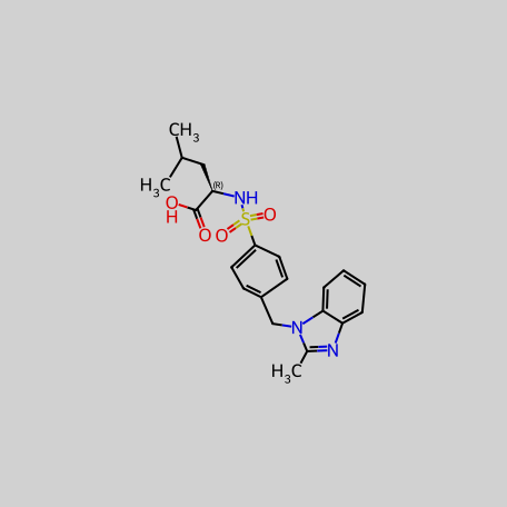 Cc1nc2ccccc2n1Cc1ccc(S(=O)(=O)N[C@H](CC(C)C)C(=O)O)cc1